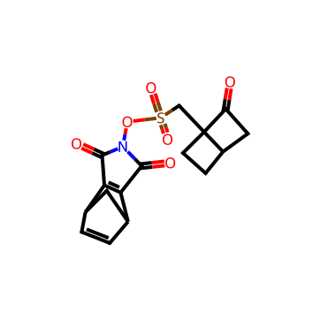 O=C1C2=C(C(=O)N1OS(=O)(=O)CC13CCC1CC3=O)C1C=CC2C1